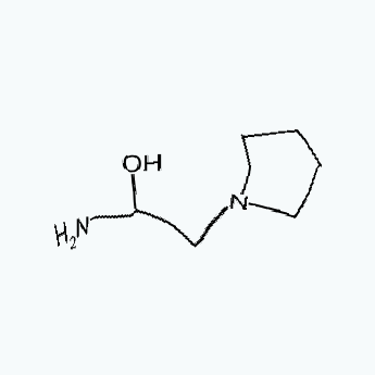 NC(O)CN1CCCC1